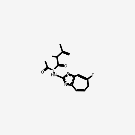 C=C(C)C(C)C(=O)N(Nc1nc2c(s1)C=C(F)CC=C2)C(C)=O